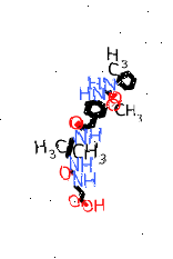 COc1cc(CC(=O)NCC(C)(C)CNC(=O)NCCC(=O)O)ccc1NC(=O)Nc1ccccc1C